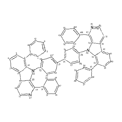 c1ccc(-c2cccc3c4ccnc(-c5ccccc5)c4n(-c4ccc(-c5ccc(-n6c7c(-c8ccccc8)cccc7c7ccnc(-c8ccccc8)c76)cc5)cc4)c23)cc1